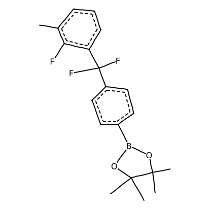 Cc1cccc(C(F)(F)c2ccc(B3OC(C)(C)C(C)(C)O3)cc2)c1F